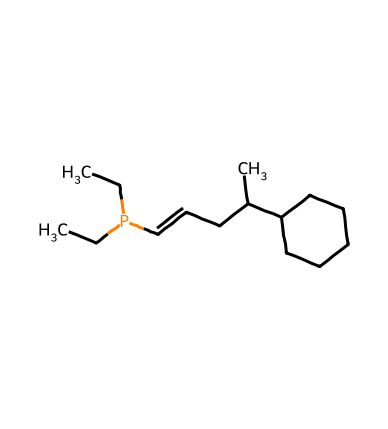 CCP(C=CCC(C)C1CCCCC1)CC